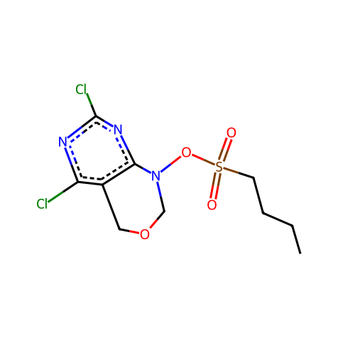 CCCCS(=O)(=O)ON1COCc2c(Cl)nc(Cl)nc21